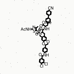 COC(=O)C(Cc1ccc(-c2ccc(C#N)cc2)cc1)NC(=O)C1Cc2cc3c(cc2CN1S(=O)(=O)c1sc(NC(C)=O)nc1C)OC(c1ccc(NC(=O)c2ccc(Cl)c(Cl)c2)cc1)CO3